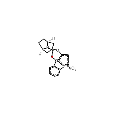 CC1(Oc2ccc([N+](=O)[O-])cc2)C[C@H]2CC[C@@H](C1)N2CCOc1ccccc1C(F)(F)F